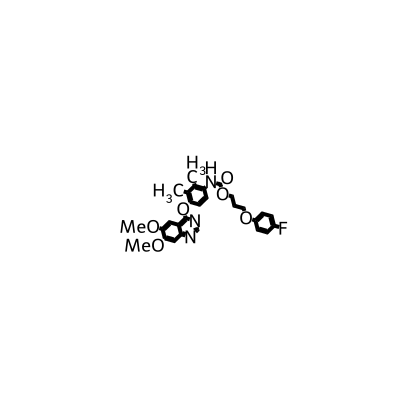 COc1cc2ncnc(Oc3ccc(NC(=O)OCCCOc4ccc(F)cc4)c(C)c3C)c2cc1OC